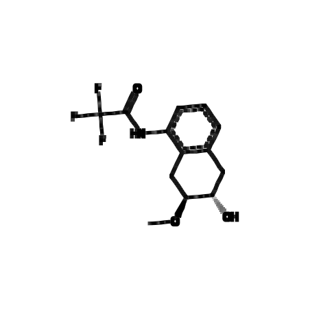 CO[C@H]1Cc2c(cccc2NC(=O)C(F)(F)F)C[C@@H]1O